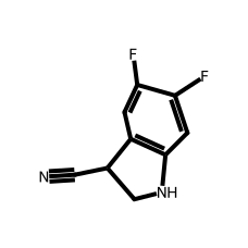 N#CC1CNc2cc(F)c(F)cc21